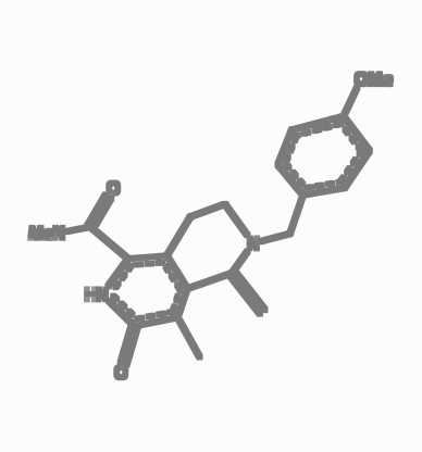 C=C1c2c(c(C(=O)NC)[nH]c(=O)c2C)CCN1Cc1ccc(OC)cc1